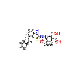 COc1cc(C(=O)NC(=S)Nc2cccc(C3C=c4ccccc4=C3)c2)cc(CO)c1CO